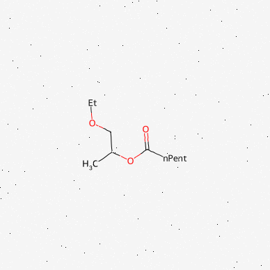 CCCCCC(=O)OC(C)COCC